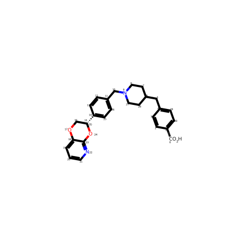 O=C(O)c1ccc(CC2CCN(Cc3ccc([C@H]4COc5cccnc5O4)cc3)CC2)cc1